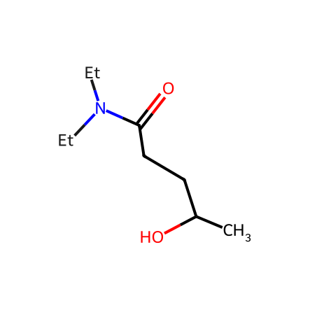 CCN(CC)C(=O)CCC(C)O